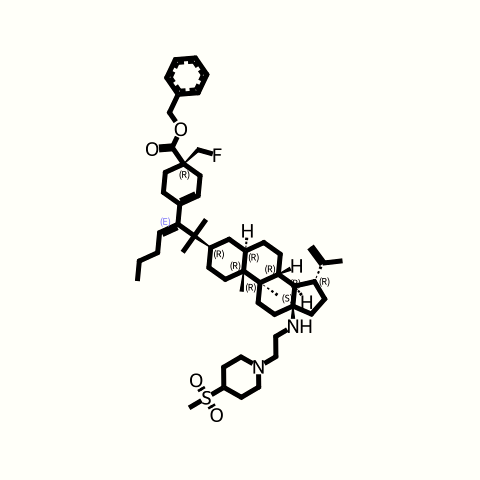 C=C(C)[C@@H]1CC[C@]2(NCCN3CCC(S(C)(=O)=O)CC3)CC[C@]3(C)[C@H](CC[C@@H]4C[C@H](C(C)(C)/C(=C\CCC)C5=CC[C@@](CF)(C(=O)OCc6ccccc6)CC5)CC[C@]43C)[C@@H]12